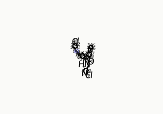 O=C(NCc1ccnc(Cl)c1)N1CC2(CCN(C/C=C/c3ccc(Cl)cc3)CC2)c2cc(N3CCCC3)ccc21